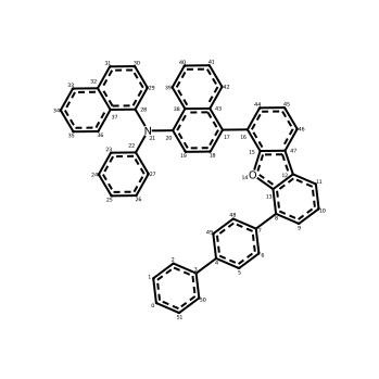 c1ccc(-c2ccc(-c3cccc4c3oc3c(-c5ccc(N(c6ccccc6)c6cccc7ccccc67)c6ccccc56)cccc34)cc2)cc1